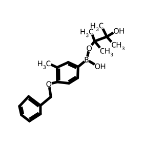 Cc1cc(B(O)OC(C)(C)C(C)(C)O)ccc1OCc1ccccc1